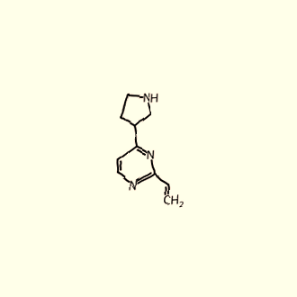 C=Cc1nccc(C2CCNC2)n1